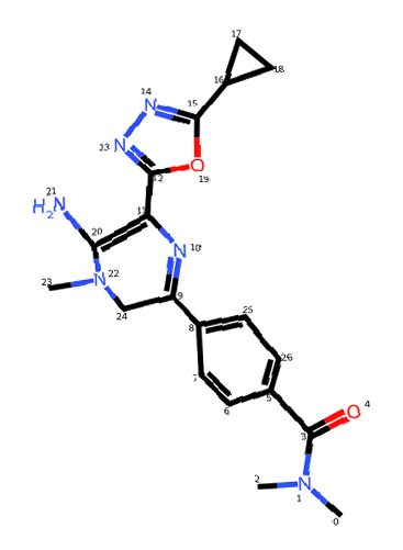 CN(C)C(=O)c1ccc(C2=NC(c3nnc(C4CC4)o3)=C(N)N(C)C2)cc1